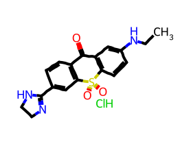 CCNc1ccc2c(c1)C(=O)c1ccc(C3=NCCN3)cc1S2(=O)=O.Cl